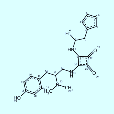 CCC(Cc1ccsc1)Nc1c(NCC(Cc2ccc(O)cc2)N(C)C)c(=O)c1=O